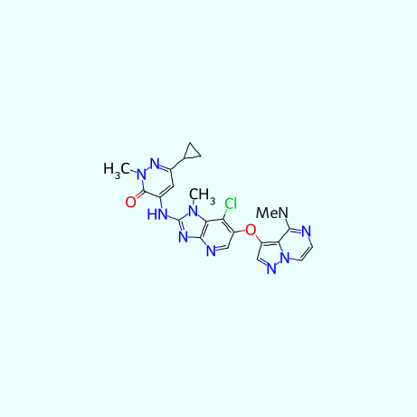 CNc1nccn2ncc(Oc3cnc4nc(Nc5cc(C6CC6)nn(C)c5=O)n(C)c4c3Cl)c12